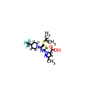 Cc1cc(C(=O)O)n(-c2nc(N3CCC(C(F)(F)F)CC3)c(SC(C)C)s2)n1